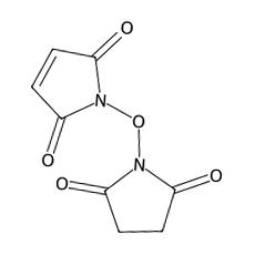 O=C1C=CC(=O)N1ON1C(=O)CCC1=O